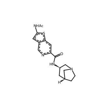 CC(=O)Nc1cc2cnc(C(=O)N[C@@H]3C[C@H]4CCN(C4)C3)cc2s1